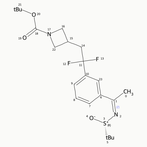 C/C(=N/[S@@+]([O-])C(C)(C)C)c1cccc(C(F)(F)CC2CN(C(=O)OC(C)(C)C)C2)c1